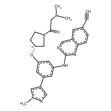 C#Cc1ccc2nc(Nc3cc(O[C@@H]4CCN(C(=O)CN(C)C)C4)cc(-c4cnn(C)c4)c3)ncc2c1